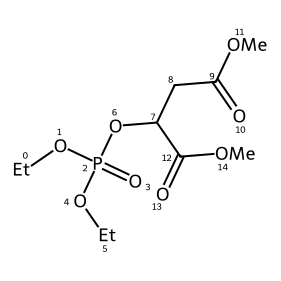 CCOP(=O)(OCC)OC(CC(=O)OC)C(=O)OC